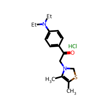 CCN(CC)c1ccc(C(=O)CN2CSC(C)=C2C)cc1.Cl